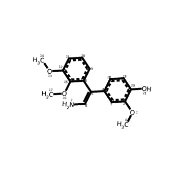 COc1cc(C(=CN)c2cccc(OC)c2OC)ccc1O